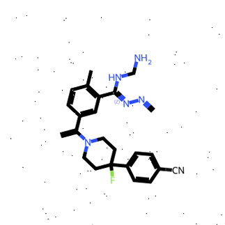 C=N/N=C(\NCN)c1cc(C(=C)N2CCC(F)(c3ccc(C#N)cc3)CC2)ccc1C